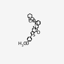 COc1ccc(-c2cc3cnn(Cc4cccc(OCC5CCCCN5C)n4)c(=O)c3s2)cc1